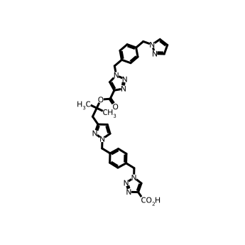 CC(C)(Cc1ccn(Cc2ccc(Cn3cc(C(=O)O)nn3)cc2)n1)OC(=O)c1cn(Cc2ccc(Cn3cccn3)cc2)nn1